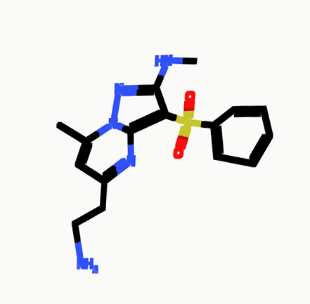 CNc1nn2c(C)cc(CCN)nc2c1S(=O)(=O)c1ccccc1